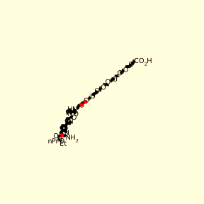 CCCN(OCC)C(=O)C1=Cc2ccc(-c3ccc(C(=O)N4CCCC4C(=O)NCCOCCOCCOCCOCCOCCOCCOCCOCCOCCOCCC(=O)O)nc3)cc2N=C(N)C1